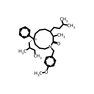 CCC(C)C[C@]1(c2ccccc2)CCCC(CCC(C)C)C(C)C(=O)N(Cc2ccc(OC)cc2)CCC1